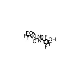 O=C(c1noc(-c2cc(F)c(F)c(O)c2F)n1)N1CCO[C@H](C(F)(F)F)C1